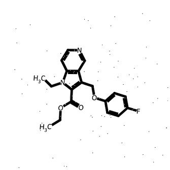 CCOC(=O)c1c(COc2ccc(F)cc2)c2cnccc2n1CC